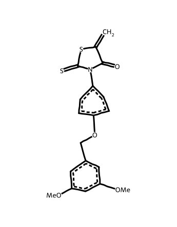 C=C1SC(=S)N(c2ccc(OCc3cc(OC)cc(OC)c3)cc2)C1=O